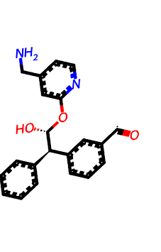 NCc1ccnc(O[C@@H](O)[C@H](c2ccccc2)c2cccc([C]=O)c2)c1